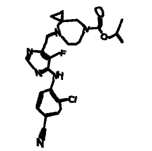 CC(C)OC(=O)N1CCN(Cc2ncnc(Nc3ccc(C#N)cc3Cl)c2F)C2(CC2)C1